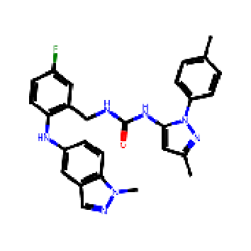 Cc1ccc(-n2nc(C)cc2NC(=O)NCc2cc(F)ccc2Nc2ccc3c(cnn3C)c2)cc1